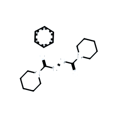 O=C(N=NC(=O)N1CCCCC1)N1CCCCC1.c1ccccc1